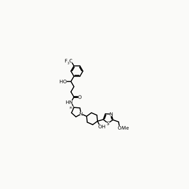 COCc1ncc(C2(O)CCC(N3CC[C@@H](NC(=O)CCC(O)c4cccc(C(F)(F)F)c4)C3)CC2)s1